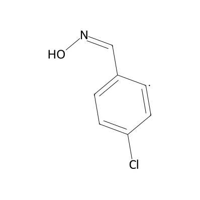 O/N=C\c1[c]cc(Cl)cc1